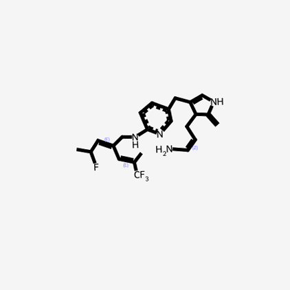 C=C1NC=C(Cc2ccc(NCC(=C/C(C)F)/C=C(\C)C(F)(F)F)nc2)C1C/C=C\N